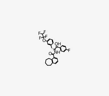 O=C(N[C@H](Cc1cccc(OC(F)(F)C(F)F)c1)[C@@H](O)c1ccc(F)cc1)c1cccc2c1CCCCC2